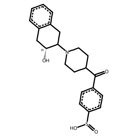 O=C(c1ccc(S(=O)O)cc1)C1CCN(C2Cc3ccccc3C[C@H]2O)CC1